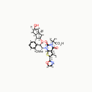 COc1ccccc1C(Cn1c(=O)n(C(C)(C)C(=O)O)c(=O)c2c(C)c(-c3ncco3)sc21)O[C@H]1CC2C[C@@](C)(O)C[C@H]2C1